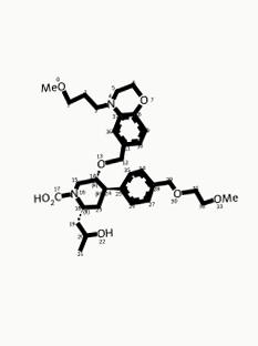 COCCCN1CCOc2ccc(CO[C@H]3CN(C(=O)O)[C@@H](CC(C)O)C[C@@H]3c3ccc(COCCOC)cc3)cc21